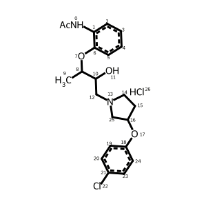 CC(=O)Nc1ccccc1OC(C)C(O)CN1CCC(Oc2ccc(Cl)cc2)C1.Cl